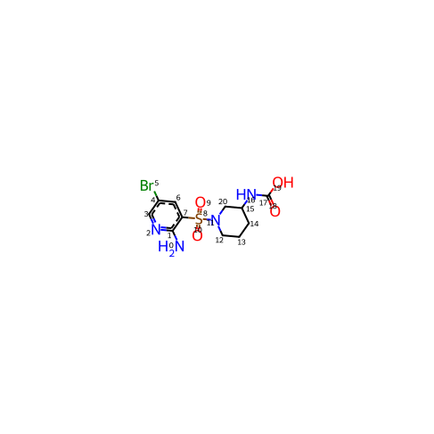 Nc1ncc(Br)cc1S(=O)(=O)N1CCCC(NC(=O)O)C1